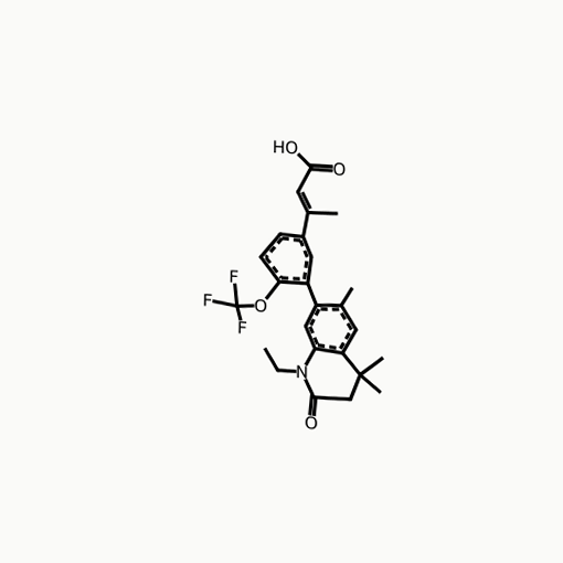 CCN1C(=O)CC(C)(C)c2cc(C)c(-c3cc(C(C)=CC(=O)O)ccc3OC(F)(F)F)cc21